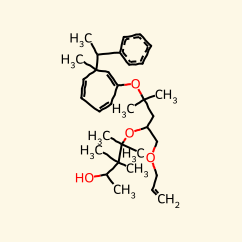 C=CCOCC(CC(C)(C)OC1=CC(C)(C(C)c2ccccc2)C=CC=C1)OC(C)(C)C(C)(C)C(C)O